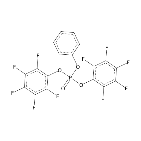 O=P(Oc1ccccc1)(Oc1c(F)c(F)c(F)c(F)c1F)Oc1c(F)c(F)c(F)c(F)c1F